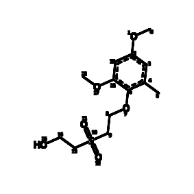 COc1cc(C)c(OCCS(=O)(=O)CCO)c(OC)c1